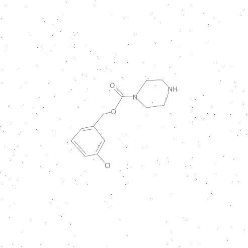 O=C(OCc1cccc(Cl)c1)N1CCNCC1